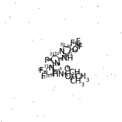 CC(C)(C)OC(=O)NC[C@H]1CCC(F)(F)CN1c1nc(Nc2cc(OC(F)(F)F)ccn2)ccc1F